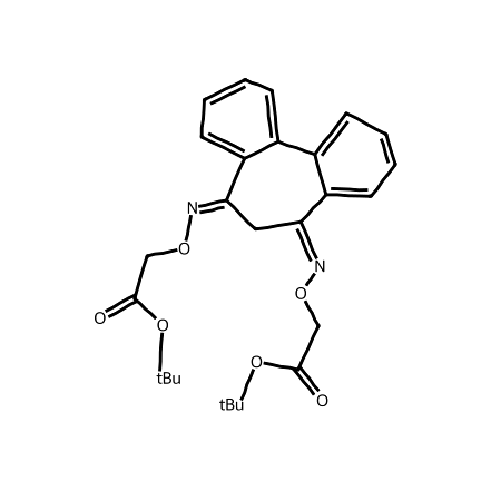 CC(C)(C)OC(=O)CON=C1CC(=NOCC(=O)OC(C)(C)C)c2ccccc2-c2ccccc21